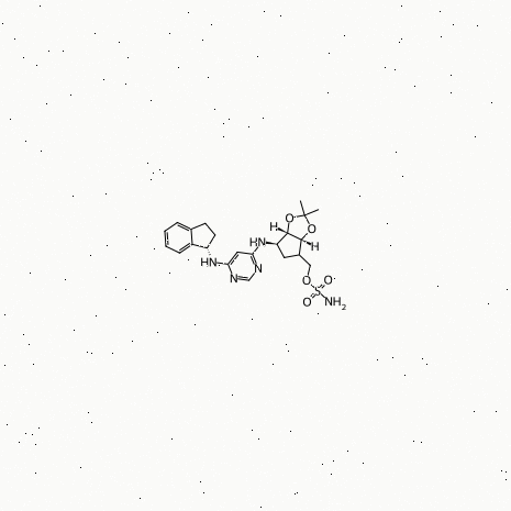 CC1(C)O[C@@H]2[C@H](O1)C(COS(N)(=O)=O)C[C@H]2Nc1cc(N[C@H]2CCc3ccccc32)ncn1